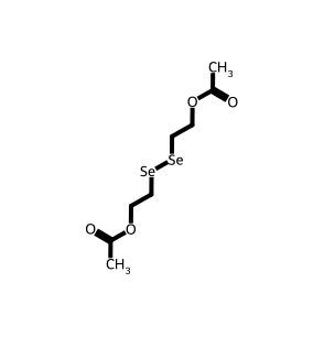 CC(=O)OCC[Se][Se]CCOC(C)=O